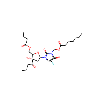 CCCCCCC(=O)OCn1c(=O)c(F)cn([C@H]2C[C@@](O)(C(=O)CCC)[C@@H](COC(=O)CCC)O2)c1=O